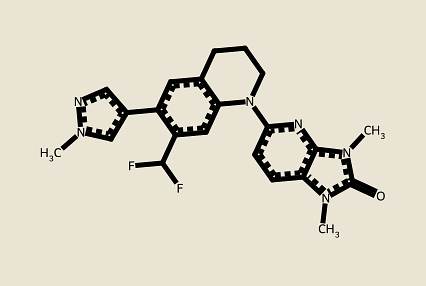 Cn1cc(-c2cc3c(cc2C(F)F)N(c2ccc4c(n2)n(C)c(=O)n4C)CCC3)cn1